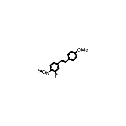 COc1ccc(C=Cc2ccc(N=C=S)c(F)c2)cc1